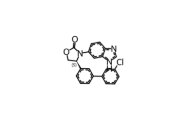 O=C1OC[C@H](c2cccc(-c3cccc(Cl)c3)c2)N1c1ccc2nc[nH]c2c1